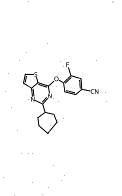 N#Cc1ccc(Oc2nc(C3CCCCC3)nc3ccsc23)c(F)c1